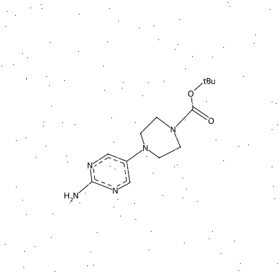 CC(C)(C)OC(=O)N1CCN(c2cnc(N)nc2)CC1